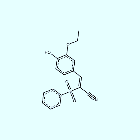 CCOc1cc(/C=C(/C#N)S(=O)(=O)c2ccccc2)ccc1O